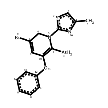 Cc1csc(N2CC(Br)=CC(Oc3ccccc3)=C2[AsH2])n1